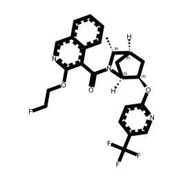 C[C@@H]1[C@H]2C[C@@H](Oc3ccc(C(F)(F)F)cn3)[C@H](C2)N1C(=O)c1c(OCCF)ncc2ccccc12